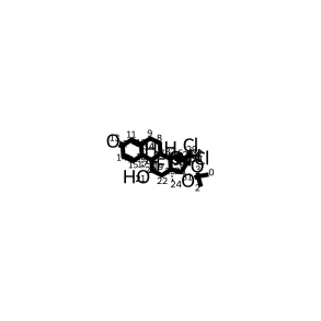 CC1(C)O[C@@H]2C[C@H]3[C@@H]4CCC5=CC(=O)C=C[C@]5(C)[C@@]4(F)[C@@H](O)C[C@]3(C)[C@]2(C(=O)C(Cl)Cl)O1